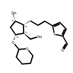 O=Cc1ccc(CCC[C@@H]2[C@@H](CO)[C@H](OC3CCCCO3)C[C@@H]2O)s1